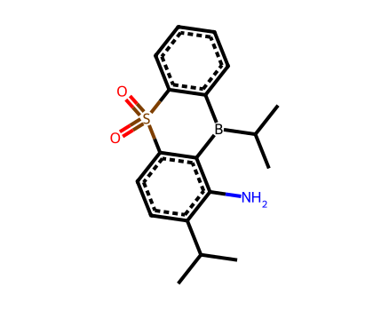 CC(C)B1c2ccccc2S(=O)(=O)c2ccc(C(C)C)c(N)c21